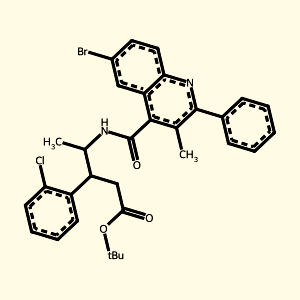 Cc1c(-c2ccccc2)nc2ccc(Br)cc2c1C(=O)NC(C)C(CC(=O)OC(C)(C)C)c1ccccc1Cl